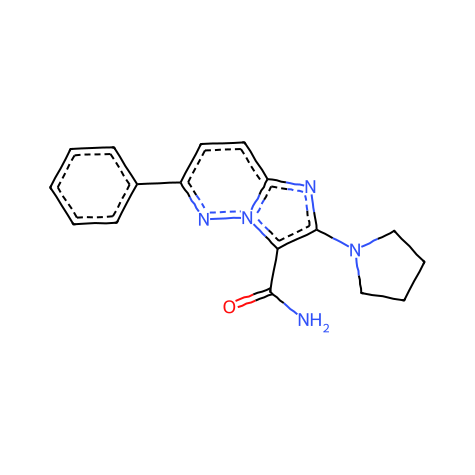 NC(=O)c1c(N2CCCC2)nc2ccc(-c3ccccc3)nn12